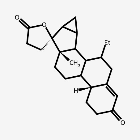 CCC1CC2=CC(=O)CC[C@@H]2C2CC[C@@]3(C)C(C4CC4[C@@]34CCC(=O)O4)C12